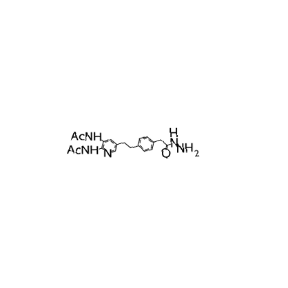 CC(=O)Nc1cc(CCc2ccc(CC(=O)NN)cc2)cnc1NC(C)=O